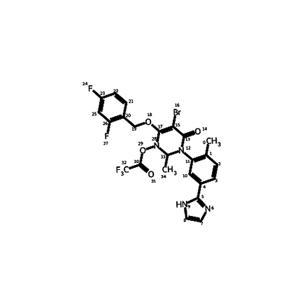 Cc1ccc(-c2ncc[nH]2)cc1N1C(=O)C(Br)=C(OCc2ccc(F)cc2F)N(OC(=O)C(F)(F)F)C1C